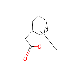 CC1CC2CCCC3CC(=O)OC32C1